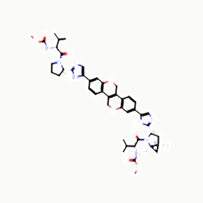 COC(=O)N[C@H](C(=O)N1CCC[C@H]1c1ncc(-c2ccc3c(c2)OCC2=C3COc3cc(-c4cnc([C@@H]5C[C@H]6C[C@H]6N5C(=O)[C@@H](NC(=O)OC)C(C)C)[nH]4)ccc32)[nH]1)C(C)C